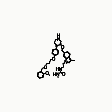 CNC(=O)NCCn1cc(C)c2ccc(CO[C@H]3CNCC[C@@H]3c3ccc(OCCCOCc4ccccc4OC)cc3)cc21